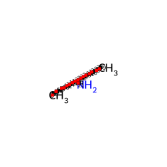 CCCCCCCCCCCCCCCCCCC(CCN)CCCCCCCCCCCCCCCCCC